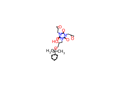 C[Si](C)(OCC(O)Cn1c(=O)n(CC2CO2)c(=O)n(CC2CO2)c1=O)c1ccccc1